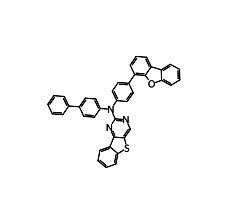 c1ccc(-c2ccc(N(c3ccc(-c4cccc5c4oc4ccccc45)cc3)c3ncc4sc5ccccc5c4n3)cc2)cc1